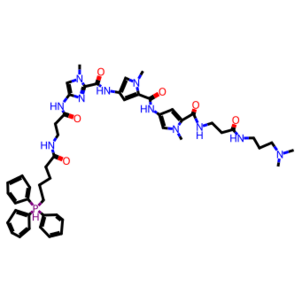 CN(C)CCCNC(=O)CCNC(=O)c1cc(NC(=O)c2cc(NC(=O)c3nc(NC(=O)CCNC(=O)CCCC[PH](c4ccccc4)(c4ccccc4)c4ccccc4)cn3C)cn2C)cn1C